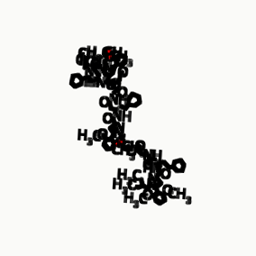 CCC(C)Cn1nc(C(=O)N[C@@H](CCC2CCCCC2)CC(=O)NCC(=O)OCCOc2cccc(OC)c2-c2cc(C(=O)N[C@@H](CCC3CCCCC3)CC(=O)NCC(=O)OC)nn2C(C)C(C)C)cc1-c1c(OC)cccc1OCCOC(=O)CNC(=O)C[C@H](CCC1CCCCC1)NC(=O)c1cc(-c2c(OC)cccc2OC)n(CC(CC)CC)n1